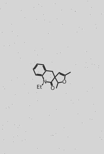 CCN1C(=O)C2(C=C(C)OC2C)Cc2ccccc21